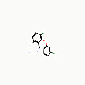 NCc1c(F)c[c]c(F)c1Oc1cccc(F)c1